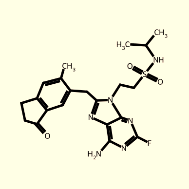 Cc1cc2c(cc1Cc1nc3c(N)nc(F)nc3n1CCS(=O)(=O)NC(C)C)C(=O)CC2